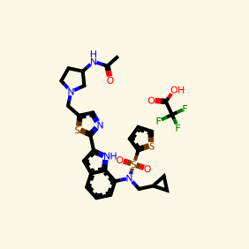 CC(=O)NC1CCN(Cc2cnc(-c3cc4cccc(N(CC5CC5)S(=O)(=O)c5cccs5)c4[nH]3)s2)C1.O=C(O)C(F)(F)F